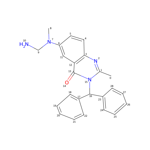 Cc1nc2ccc(N(C)CN)cc2c(=O)n1C(c1ccccc1)c1ccccc1